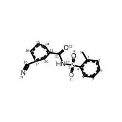 Cc1ccccc1S(=O)(=O)NC(=O)c1cccc(C#N)c1